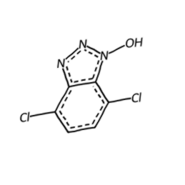 On1nnc2c(Cl)ccc(Cl)c21